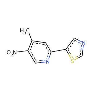 Cc1cc(-c2cncs2)ncc1[N+](=O)[O-]